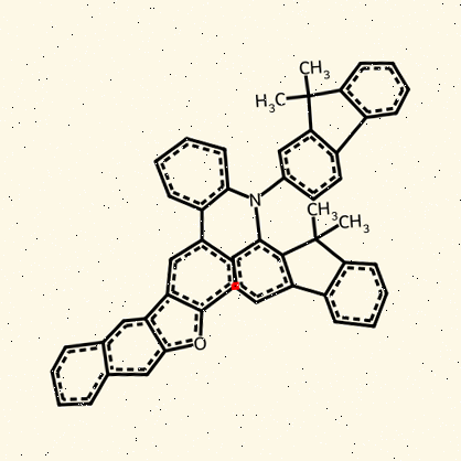 CC1(C)c2ccccc2-c2ccc(N(c3ccccc3-c3ccc4oc5cc6ccccc6cc5c4c3)c3cccc4c3C(C)(C)c3ccccc3-4)cc21